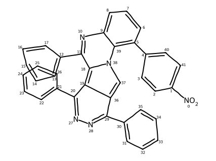 O=[N+]([O-])c1ccc(-c2cccc3nc(-c4ccccc4)c4c5c(-c6ccccc6)nnc(-c6ccccc6)c5cn4c23)cc1